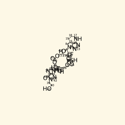 O=C1OC[C@H]2O[C@@H](n3cc4c5c(ncnc53)NCCC4)[C@H](F)[C@@H]2OP(=O)(S)OC[C@H]2O[C@@H](n3cnc4c(=O)n(CCO)cnc43)[C@H](O1)[C@@H]2F